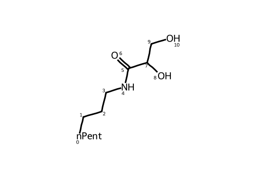 CCCCCCCCNC(=O)C(O)CO